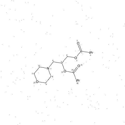 CC(C)C(=O)OCC(CN1CCOCC1)OC(=O)C(C)C